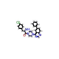 NC(Cc1ccc(Cl)cc1)C(=O)N1CCN(c2ncnc3ccc(-c4ccccc4)cc23)CC1